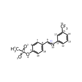 CS(=O)(=O)Oc1ccc(/C=N/c2cccc(C(F)(F)F)c2)cc1